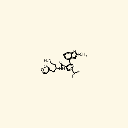 Cn1cc2c(-c3nn(C(F)F)cc3C(=O)NC(CCN)CC3=COOC=C3)cccc2n1